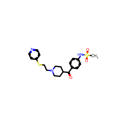 CS(=O)(=O)Nc1ccc(C(=O)C2CCN(CCSc3ccncc3)CC2)cc1